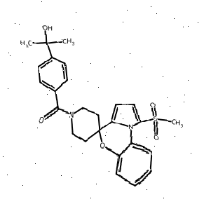 CC(C)(O)c1ccc(C(=O)N2CCC3(CC2)Oc2ccccc2-n2c3ccc2S(C)(=O)=O)cc1